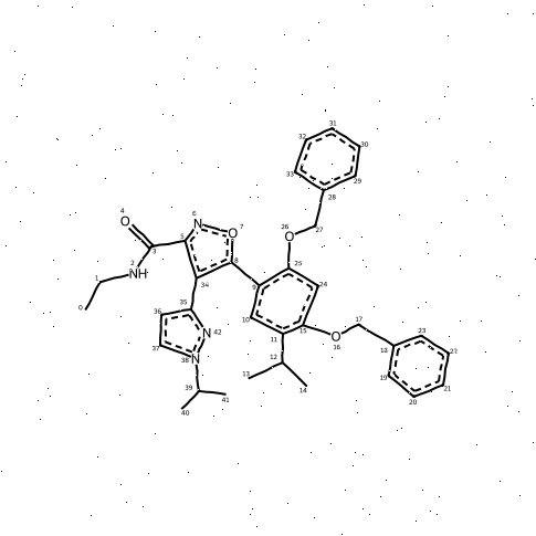 CCNC(=O)c1noc(-c2cc(C(C)C)c(OCc3ccccc3)cc2OCc2ccccc2)c1-c1ccn(C(C)C)n1